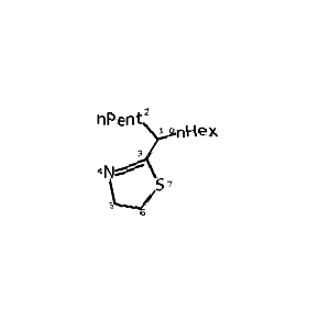 CCCCCCC(CCCCC)C1=NCCS1